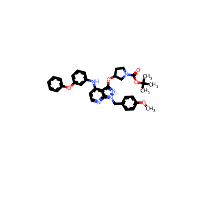 COc1ccc(Cn2nc(OC3CCN(C(=O)OC(C)(C)C)C3)c3c(Nc4cccc(Oc5ccccc5)c4)ccnc32)cc1